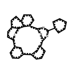 c1ccc(-c2nc3nc(n2)c2cccc4ccc5ccc(cc5c42)c2cccc(c2)c2cccc3c2)cc1